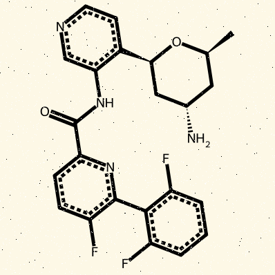 C[C@H]1C[C@H](N)C[C@@H](c2ccncc2NC(=O)c2ccc(F)c(-c3c(F)cccc3F)n2)O1